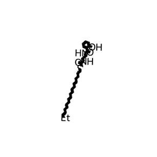 CCC=CCC=CCC=CCC=CCC=CCCCCSCC(=O)NCCNC(=O)c1ccccc1O